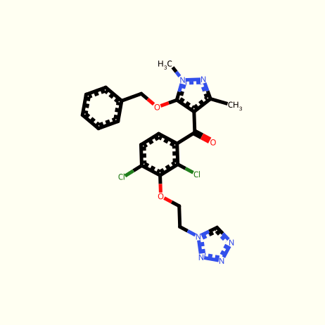 Cc1nn(C)c(OCc2ccccc2)c1C(=O)c1ccc(Cl)c(OCCn2cnnn2)c1Cl